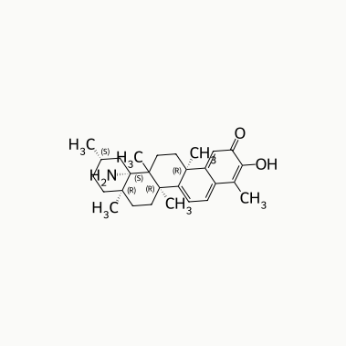 CC1=C(O)C(=O)C=C2C1=CC=C1[C@@]2(C)CCC2(C)[C@]3(N)C[C@@H](C)CC[C@]3(C)CC[C@]12C